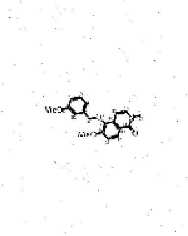 COc1cccc(COc2c(OC)ccc3c(=O)n(C)ccc23)c1